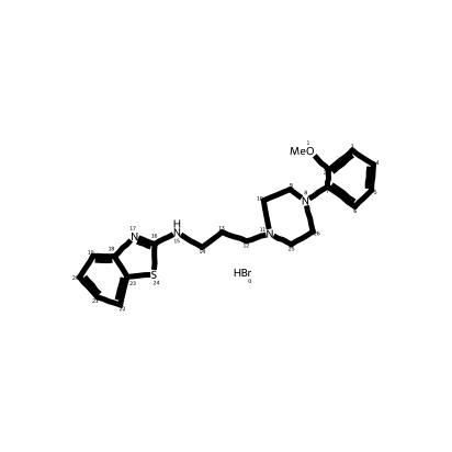 Br.COc1ccccc1N1CCN(CCCNc2nc3ccccc3s2)CC1